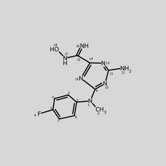 CN(c1ccc(F)cc1)c1nc(N)nc(C(=N)NO)n1